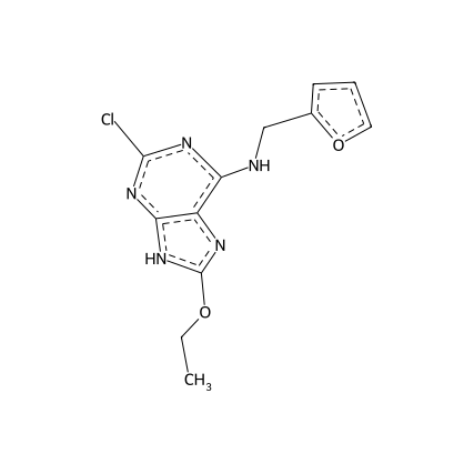 CCOc1nc2c(NCc3ccco3)nc(Cl)nc2[nH]1